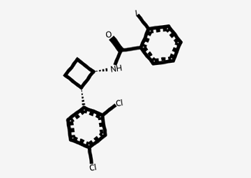 O=C(N[C@H]1CC[C@H]1c1ccc(Cl)cc1Cl)c1ccccc1I